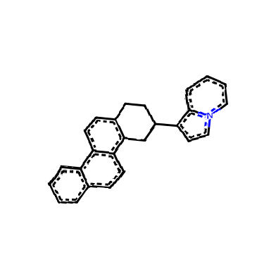 c1ccc2c(c1)ccc1c3c(ccc12)CCC(c1ccn2ccccc12)C3